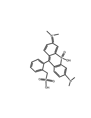 CN(C)c1ccc2c(c1)P(=O)(O)C1=CC(=[N+](C)C)C=CC1=C2c1ccccc1CS(=O)(=O)O